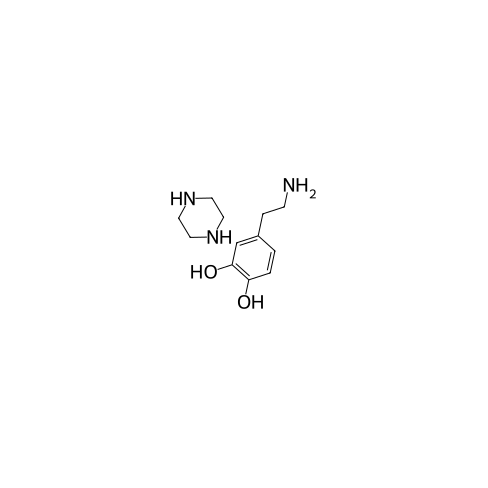 C1CNCCN1.NCCc1ccc(O)c(O)c1